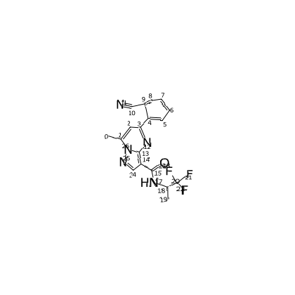 Cc1cc(-c2ccccc2C#N)nc2c(C(=O)NC(C)C(F)(F)F)cnn12